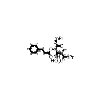 CCCOC(=O)N(OC(=O)CCc1ccccc1)C(=N)N(C)C(CCC)C(=O)O